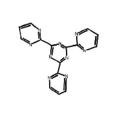 c1cnc(-c2nc(-c3ncccn3)nc(-c3ncccn3)n2)nc1